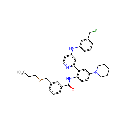 O=C(O)CCSCc1cccc(C(=O)Nc2ccc(N3CCCCC3)cc2-c2cc(Nc3cccc(CF)c3)ccn2)c1